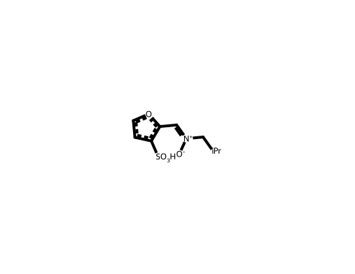 CC(C)C[N+]([O-])=Cc1occc1S(=O)(=O)O